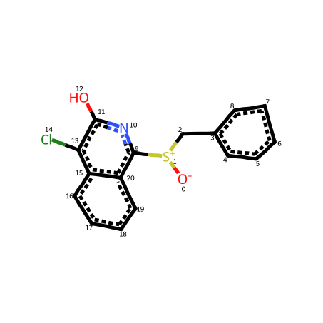 [O-][S+](Cc1ccccc1)c1nc(O)c(Cl)c2ccccc12